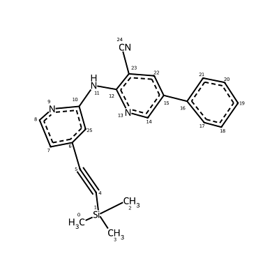 C[Si](C)(C)C#Cc1ccnc(Nc2ncc(-c3ccccc3)cc2C#N)c1